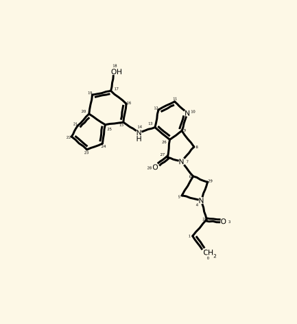 C=CC(=O)N1CC(N2Cc3nccc(Nc4cc(O)cc5ccccc45)c3C2=O)C1